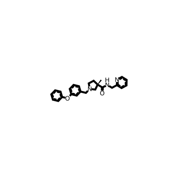 C[C@]1(C(=O)NCc2ccccn2)CCN(Cc2cccc(Oc3ccccc3)c2)C1